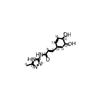 Cc1nnc(NC(=O)/C=C/C2=CC(O)C(O)C=C2)[nH]1